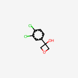 OC1(c2ccc(Cl)c(Cl)c2)COC1